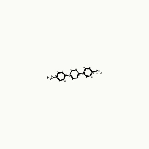 Cc1ccc(C2=CC=C(c3ccc(P)cc3)CC2)cc1